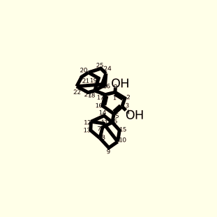 Oc1cc(O)c(C23CC4CC(CC(C4)C2)C3)cc1C12CC3CC(CC(C3)C1)C2